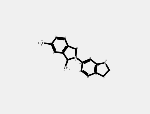 Cc1ccc2c(c1)C(C)N(c1ccc3c(c1)SCC3)C2